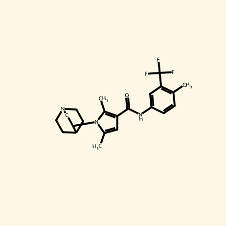 Cc1ccc(NC(=O)c2cc(C)n(C3CN4CCC3CC4)c2C)cc1C(F)(F)F